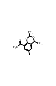 Cc1cc(C(N)=O)c2c(c1)C(C(Cl)(Cl)Cl)OC(C(Cl)(Cl)Cl)O2